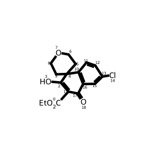 CCOC(=O)C1=C(O)C2(CCOCC2)c2ccc(Cl)cc2C1=O